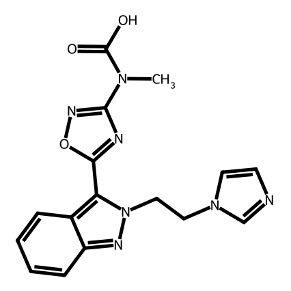 CN(C(=O)O)c1noc(-c2c3ccccc3nn2CCn2ccnc2)n1